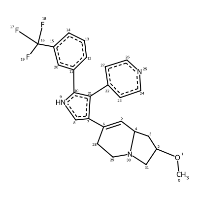 COC1CC2C=C(c3c[nH]c(-c4cccc(C(F)(F)F)c4)c3-c3ccncc3)CCN2C1